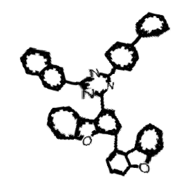 C1=CC2Oc3ccccc3C2C(c2ccc(-c3nc(-c4ccc(-c5ccccc5)cc4)nc(-c4ccc5ccccc5c4)n3)c3c2oc2ccccc23)=C1